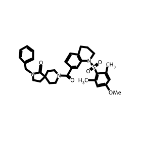 COc1cc(C)c(S(=O)(=O)N2CCCc3ccc(C(=O)N4CCC5(CC4)CCN(Cc4ccccc4)C5=O)cc32)c(C)c1